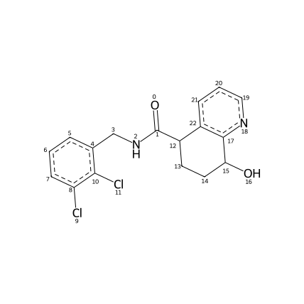 O=C(NCc1cccc(Cl)c1Cl)C1CCC(O)c2ncccc21